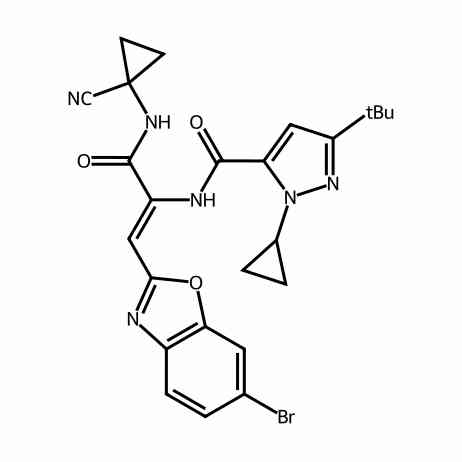 CC(C)(C)c1cc(C(=O)NC(=Cc2nc3ccc(Br)cc3o2)C(=O)NC2(C#N)CC2)n(C2CC2)n1